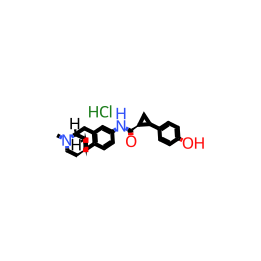 CN1CC[C@]23CCCC[C@H]2[C@H]1Cc1cc(NC(=O)[C@H]2CC2c2ccc(O)cc2)ccc13.Cl